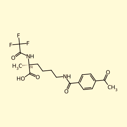 CC(=O)c1ccc(C(=O)NCCCC[C@](C)(NC(=O)C(F)(F)F)C(=O)O)cc1